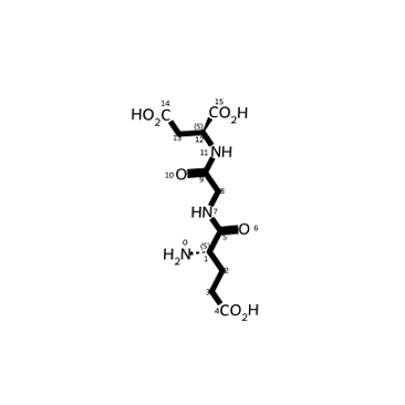 N[C@@H](CCC(=O)O)C(=O)NCC(=O)N[C@@H](CC(=O)O)C(=O)O